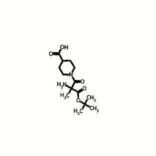 CC(C)(C)OC(=O)C(C)(N)C(=O)N1CCC(C(=O)O)CC1